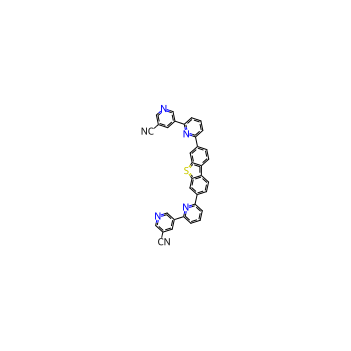 N#Cc1cncc(-c2cccc(-c3ccc4c(c3)sc3cc(-c5cccc(-c6cncc(C#N)c6)n5)ccc34)n2)c1